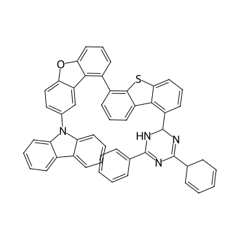 C1=CCC(C2=NC(c3cccc4sc5c(-c6cccc7oc8ccc(-n9c%10ccccc%10c%10ccccc%109)cc8c67)cccc5c34)NC(c3ccccc3)=N2)C=C1